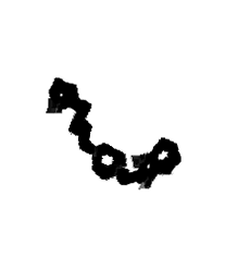 c1c[nH]c(CCCCN2CCN(Cc3nc4ccccc4[nH]3)CC2)c1